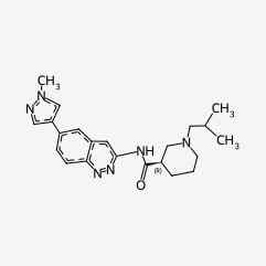 CC(C)CN1CCC[C@@H](C(=O)Nc2cc3cc(-c4cnn(C)c4)ccc3nn2)C1